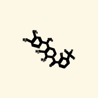 Cc1cc(N(N)C2=C(N)C(C)N(C(=O)c3cccc(C(F)(F)F)c3Cl)CC2)ncc1P